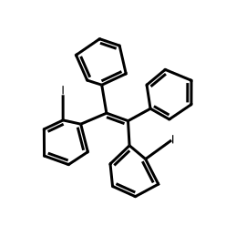 Ic1ccccc1C(=C(c1ccccc1)c1ccccc1I)c1ccccc1